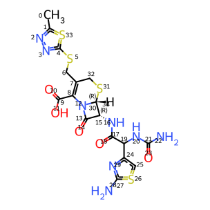 Cc1nnc(SCC2=C(C(=O)O)N3C(=O)[C@@H](NC(=O)C(NC(N)=O)c4csc(N)n4)[C@H]3SC2)s1